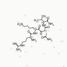 CC(C)[C@H](NC(=O)[C@H](CC(N)=O)NC(=O)[C@H](CCCCN)NC(=O)[C@@H](N)CCCNC(=N)N)C(N)=O